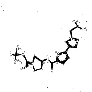 CC(C)Cn1cc(-c2ccc(C(=O)NC3CCN(C(=O)OC(C)(C)C)C3)s2)cn1